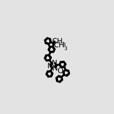 CC1(C)c2ccccc2-c2cc(-c3cccc(-c4nc(-c5ccccc5)nc(-c5cccc6c5oc5c(-c7ccccc7)cccc56)n4)c3)ccc21